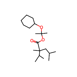 CC(C)CC(C)(C(=O)OC(C)(C)OC1CCCCC1)C(C)C